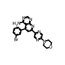 Nc1ncnc2nc(-c3cnc(N4CCOCC4)cn3)cc(-c3cccc(Br)c3)c12